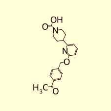 CC(=O)c1ccc(COc2cccc(C3CCN(C(=O)O)CC3)n2)cc1